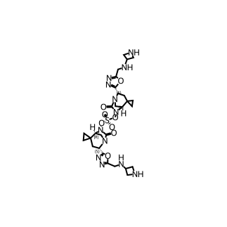 O=C1N2C[C@H](N1OS(=O)(=O)ON1C(=O)N3C[C@H]1C1(CC1)C[C@H]3c1nnc(CNC3CNC3)o1)C1(CC1)C[C@H]2c1nnc(CNC2CNC2)o1